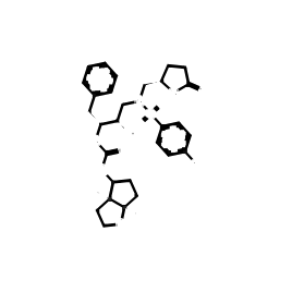 O=Nc1ccc(S(=O)(=O)N(C[C@H]2CCC(=O)N2)C[C@@H](O)[C@H](Cc2ccccc2)NC(=O)OC2CC[C@H]3OCC[C@@H]23)cc1